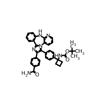 CC(C)(C)OC(=O)NC1(c2ccc(-c3c(-c4ccc(C(N)=O)cc4)nc4n3-c3cccnc3Nc3ccccc3-4)cc2)CCC1